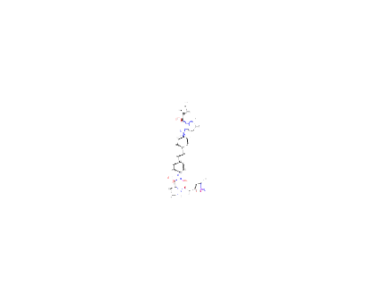 Cc1cc(CC(=O)N2CCC[C@H]2C(=O)Nc2ccc(/C=C/c3ccc(N[C@@H]4CCCN4C(=O)C4CCC4)cc3)cc2)on1